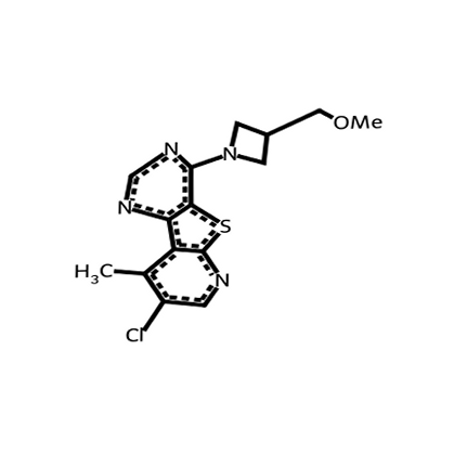 COCC1CN(c2ncnc3c2sc2ncc(Cl)c(C)c23)C1